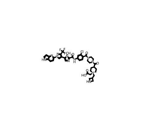 Cn1c(-c2cn(-c3ccc4[nH]ccc4n3)nc2C(F)(F)F)cnc1C(=O)Nc1ccc(C(=O)N2CCN(C(=O)C3CC[N+](CC(=O)O)(CC4CNC4)CC3)CC2)c(Cl)c1